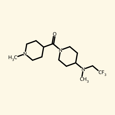 CN1CCC(C(=O)N2CCC(N(C)CC(F)(F)F)CC2)CC1